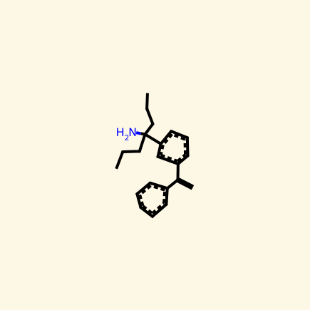 C=C(c1ccccc1)c1cccc(C(N)(CCC)CCC)c1